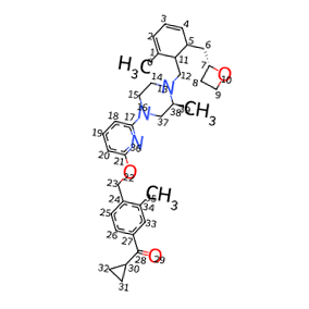 CC1=CC=CC(C[C@H]2CCO2)C1CN1CCN(c2cccc(OCc3ccc(C(=O)C4CC4)cc3C)n2)C[C@@H]1C